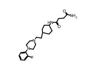 NC(=O)CCC(=O)NC1CCC(CCN2CCN(c3ccccc3F)CC2)CC1